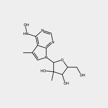 Cc1cn(C2OC(CO)C(O)C2(C)O)c2ncnc(NO)c12